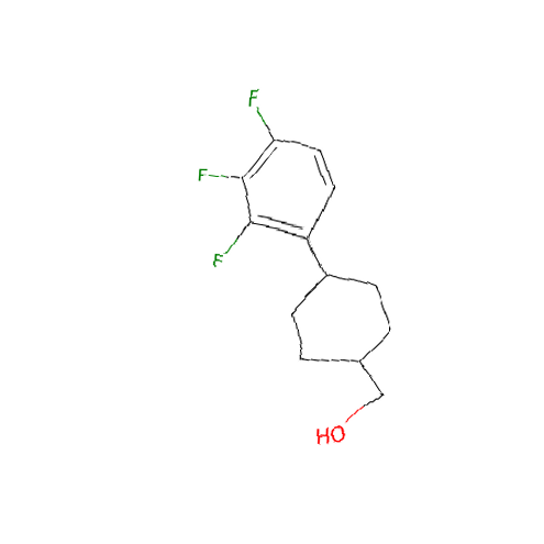 OCC1CCC(c2ccc(F)c(F)c2F)CC1